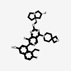 CCc1c(F)ccc2cc(O)cc(-c3ncc4c(N5CCC6(CC5)COC6)nc(OC[C@@]56CCCN5C[C@H](F)C6)nc4c3F)c12